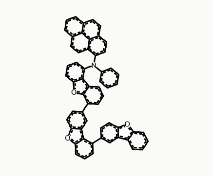 c1ccc(N(c2ccc3ccc4cccc5ccc2c3c45)c2cccc3oc4c(-c5ccc6oc7cccc(-c8ccc9oc%10ccccc%10c9c8)c7c6c5)cccc4c23)cc1